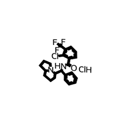 Cl.O=C(NC(c1ccccc1)C1CCCC2CCCN21)c1cccc(C(F)(F)F)c1Cl